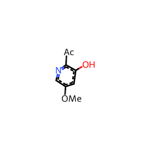 COc1cnc(C(C)=O)c(O)c1